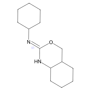 C1CCC(/N=C2/NC3CCCCC3CO2)CC1